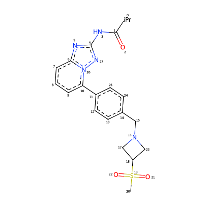 CC(C)C(=O)Nc1nc2cccc(-c3ccc(CN4CC(S(C)(=O)=O)C4)cc3)n2n1